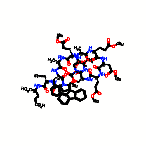 CC(C)C[C@H](NC(=O)[C@@H]1CCCN1C(=O)[C@H](Cc1ccccc1)NC(=O)[C@H](C)NC(=O)[C@H](CCC(=O)OC(C)(C)C)NC(=O)[C@H](C)NC(=O)[C@H](COC(C)(C)C)NC(=O)[C@H](CCC(=O)OC(C)(C)C)NC(=O)[C@H](CC(=O)OC(C)(C)C)NC(=O)[C@H](CCC(=O)OC(C)(C)C)NC(=O)[C@H](C)NC(=O)CNC(=O)OCC1c2ccccc2-c2ccccc21)C(=O)N[C@@H](CCC(=O)O)C(=O)O